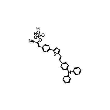 N#CC(=Cc1ccc(-c2ccc(C=Cc3ccc(N(c4ccccc4)c4ccccc4)cc3)s2)cc1)OP(=O)(O)O